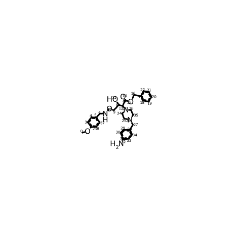 COc1ccc(CNOCC(O)C(C(=O)OCc2ccccc2)N2CCN(Cc3ccc(N)cc3)CC2)cc1